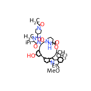 C=CC(=O)N1CCC(C(=O)N(C)C(C(=O)N[C@H]2Cc3cc(O)cc(c3)-c3ccc4c(c3)c(c(-c3ccccc3CCOC)n4CC)CC(C)(C)COC(=O)[C@@H]3CCCN(N3)C2=O)C(C)C)CC1